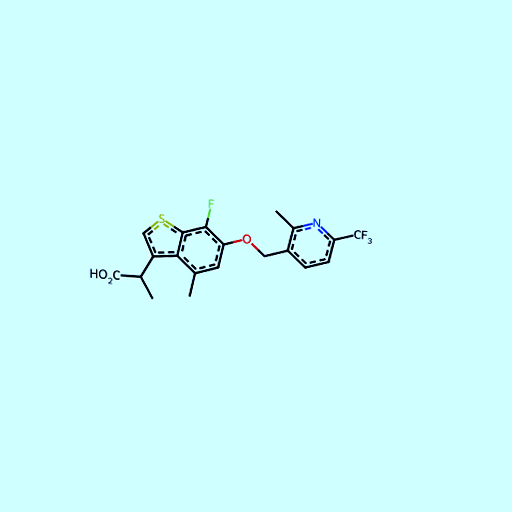 Cc1nc(C(F)(F)F)ccc1COc1cc(C)c2c(C(C)C(=O)O)csc2c1F